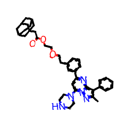 Cc1nn2c(N3CCNCC3)cc(-c3cccc(CCOCCOC(=O)CC45CC6CC(CC(C6)C4)C5)c3)nc2c1-c1ccccc1